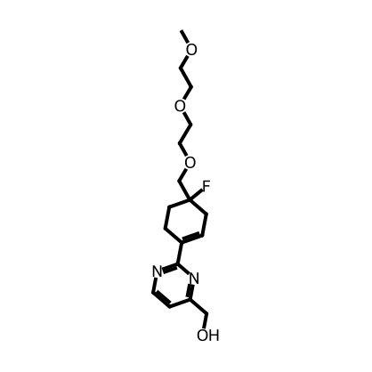 COCCOCCOCC1(F)CC=C(c2nccc(CO)n2)CC1